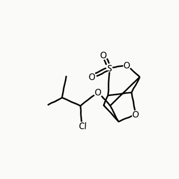 CC(C)C(Cl)OC1C2CC3C(O2)C1OS3(=O)=O